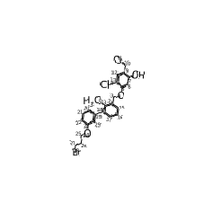 Cc1c(COc2cc(O)c(C=O)cc2Cl)cccc1-c1cccc(OCCCBr)c1